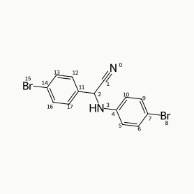 N#CC(Nc1ccc(Br)cc1)c1ccc(Br)cc1